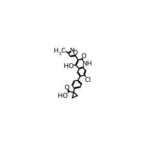 Cc1cc(-c2c(O)c3cc(-c4ccc(C5(C(=O)O)CC5)cc4)c(Cl)cc3[nH]c2=O)on1